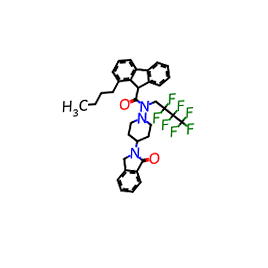 CCCCc1cccc2c1C(C(=O)N(CC(F)(F)C(F)(F)C(F)(F)F)N1CCC(N3Cc4ccccc4C3=O)CC1)c1ccccc1-2